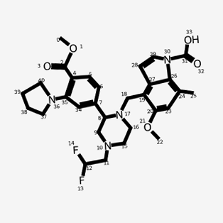 COC(=O)c1ccc(C2CN(CC(F)F)CCN2Cc2c(OC)cc(C)c3c2ccn3C(=O)O)cc1N1CCCC1